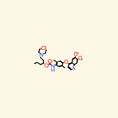 CCCC(CCN1CCOCC1)OC(=O)Nc1cc(C)c(Oc2ccnc3cc(OC)c(OC)cc23)cc1C